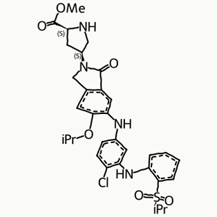 COC(=O)[C@@H]1C[C@H](N2Cc3cc(OC(C)C)c(Nc4ccc(Cl)c(Nc5ccccc5S(=O)(=O)C(C)C)c4)cc3C2=O)CN1